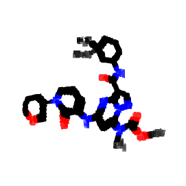 CO[C@]1(C)CCCC(NC(=O)c2cnn3c(N(C)C(=O)OC(C)(C)C)cc(Nc4cccn([C@H]5CCCOC5)c4=O)nc23)C1